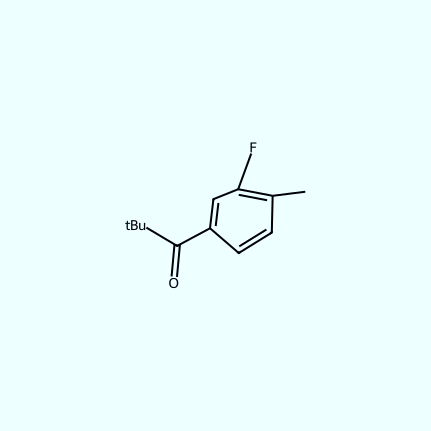 Cc1ccc(C(=O)C(C)(C)C)cc1F